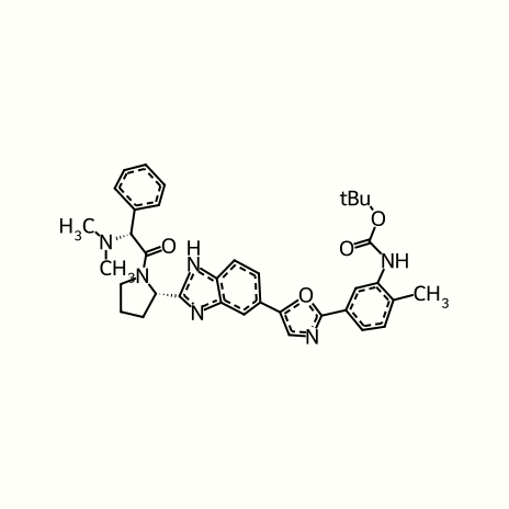 Cc1ccc(-c2ncc(-c3ccc4[nH]c([C@@H]5CCCN5C(=O)[C@@H](c5ccccc5)N(C)C)nc4c3)o2)cc1NC(=O)OC(C)(C)C